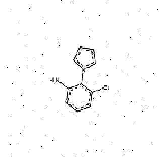 CCc1ccnc(N)c1-n1cccc1